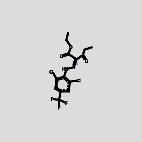 CCOC(=O)/C(=N\Nc1c(Cl)cc(C(F)(F)F)cc1Cl)C(=O)CC